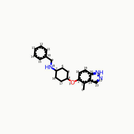 Cc1c(OC2CCC(NCc3ccccc3)CC2)ccc2[nH]ncc12